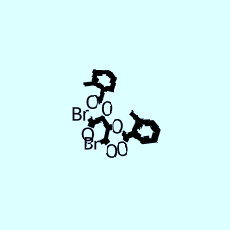 Cc1ccccc1C(=O)OC(C(=O)Br)C(OC(=O)c1ccccc1C)C(=O)Br